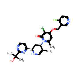 CC1=CN[C@@H](c2ccnc(C(C)(C)O)n2)C[C@H]1n1c(C)cc(OCc2cnccc2F)c(Cl)c1=O